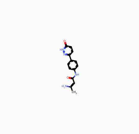 C/C(N)=C/C(=O)Nc1ccc(-c2ccc(=O)[nH]n2)cc1